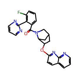 O=C(c1cccc(F)c1-c1ncccn1)N1CC2CC(Oc3ccc4cccnc4n3)C1C2